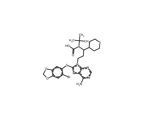 CC(C)(C)N(C(=O)O)C(CCn1c(Sc2cc3c(cc2Br)OCO3)nc2c(N)ncnc21)C1CCSCC1